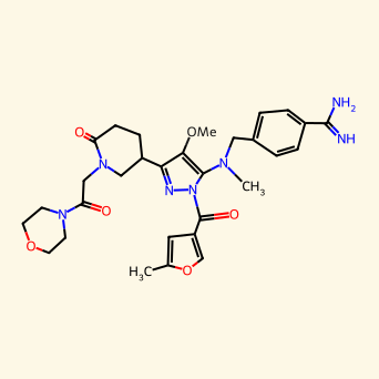 COc1c(C2CCC(=O)N(CC(=O)N3CCOCC3)C2)nn(C(=O)c2coc(C)c2)c1N(C)Cc1ccc(C(=N)N)cc1